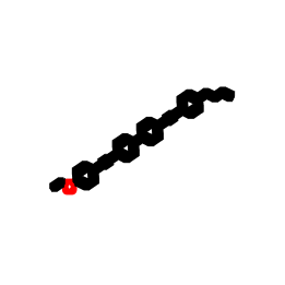 C=CCCc1ccc(C#Cc2ccc(-c3ccc(C#Cc4ccc(OCC)cc4)cc3)cc2)cc1